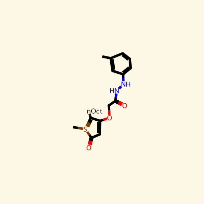 CCCCCCCCC1=S(C)C(=O)C=C1OCC(=O)NNc1cccc(C)c1